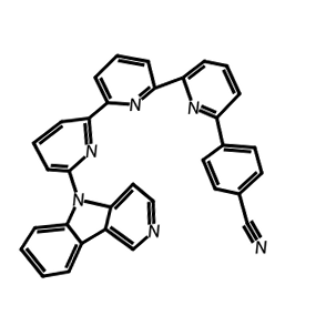 N#Cc1ccc(-c2cccc(-c3cccc(-c4cccc(-n5c6ccccc6c6cnccc65)n4)n3)n2)cc1